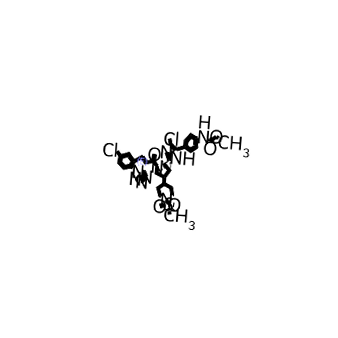 COC(=O)Nc1ccc(-c2[nH]c([C@@H]3CC(C4CCN(S(C)(=O)=O)CC4)CN3C(=O)/C=C/c3cc(Cl)ccc3-n3cnnn3)nc2Cl)cc1